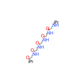 CC(C)NCCC(=O)NCCC(=O)NCCC(=O)NCCC(=O)NCCC(=O)C(C)C